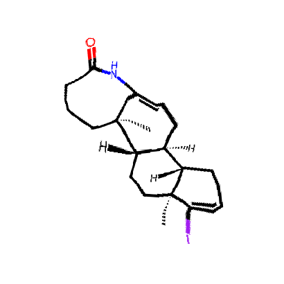 C[C@]12CCCC(=O)NC1=CC[C@@H]1[C@@H]2CC[C@]2(C)C(I)=CC[C@@H]12